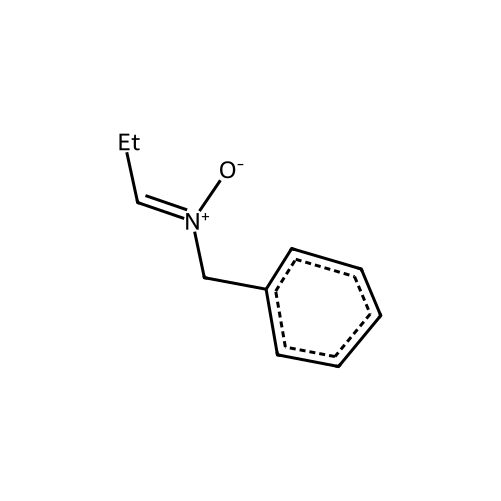 CC/C=[N+](\[O-])Cc1ccccc1